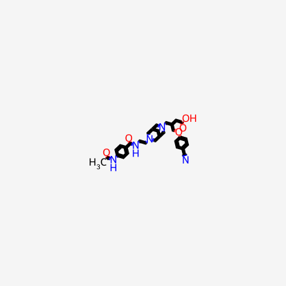 CC(=O)Nc1ccc(C(=O)NCCN2CC3CC(C2)CN(CC(COc2ccc(C#N)cc2)CC(=O)O)C3)cc1